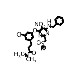 CN(C)C(=O)CCc1cc(Cl)cc(Oc2nc(C[SH](=O)=O)nc(NCc3ccccc3)c2[N+](=O)[O-])c1